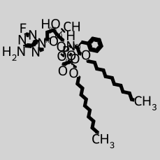 C#C[C@]1(COP(=O)(N[C@@H](Cc2ccccc2)C(=O)OCCCCCCCCCCCC)O[C@H](C=O)COCCCCCCCCCCCC)O[C@@H](n2cnc3c(N)nc(F)nc32)C[C@@H]1O